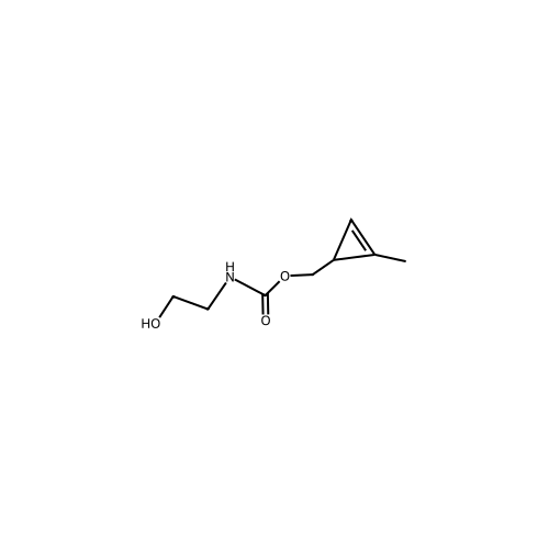 CC1=CC1COC(=O)NCCO